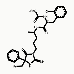 COC(=O)N[C@@H](Cc1ccccc1Cl)C(=O)NC(C)CCCN1C(=N)NC(CC(C)C)(c2ccccc2)C1=O